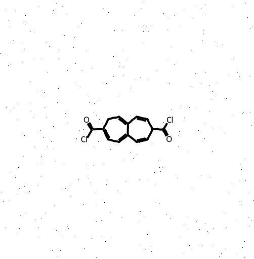 O=C(Cl)C1=CC=C2C=CC(C(=O)Cl)C=CC2=CC1